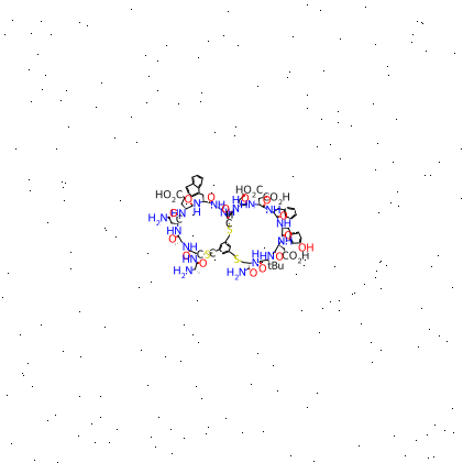 C[C@H]1NC(=O)[C@H](Cc2cccc3ccccc23)NC(=O)[C@H](CCC(=O)O)NC[C@H](CC(N)=O)NC(=O)[C@@H](C)NC(=O)[C@@H](NC(=O)[C@H](C)N)CSCc2cc3cc(c2)CSC[C@@H](N1)C(=O)N[C@@H](CCC(=O)O)C(=O)N[C@@H](CC(=O)O)C(=O)N[C@@H](Cc1ccccc1)C(=O)N[C@@H](Cc1ccc(O)cc1)C(=O)N[C@@H](CC(=O)O)C(=O)N[C@@H](C(C)(C)C)C(=O)N[C@H](C(N)=O)CSC3